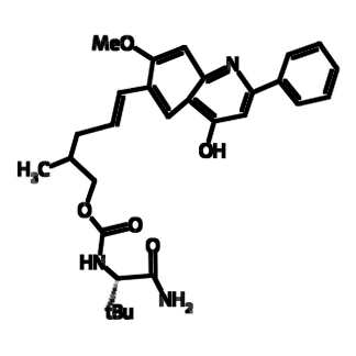 COc1cc2nc(-c3ccccc3)cc(O)c2cc1/C=C/CC(C)COC(=O)N[C@H](C(N)=O)C(C)(C)C